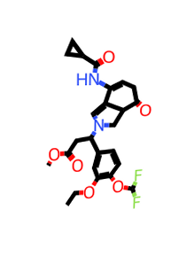 CCOc1cc(C(CC(=O)OC)N2C=C3C(NC(=O)C4CC4)=CCC(=O)C3C2)ccc1OC(F)F